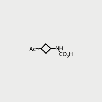 CC(=O)C1CC(NC(=O)O)C1